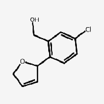 OCc1cc(Cl)ccc1C1C=CCO1